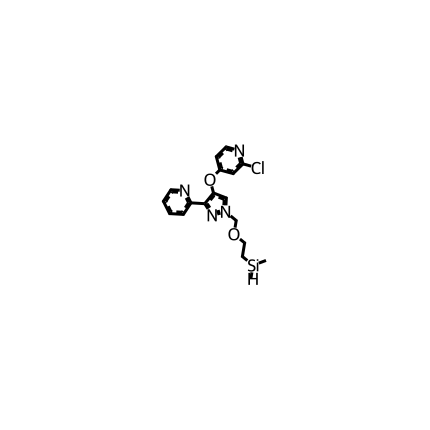 C[SiH](C)CCOCn1cc(Oc2ccnc(Cl)c2)c(-c2ccccn2)n1